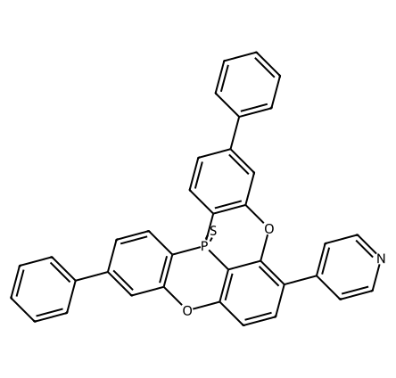 S=P12c3ccc(-c4ccccc4)cc3Oc3ccc(-c4ccncc4)c(c31)Oc1cc(-c3ccccc3)ccc12